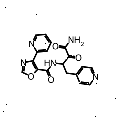 NC(=O)C(=O)C(Cc1ccncc1)NC(=O)c1ocnc1-c1ccccn1